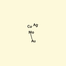 [Ag].[Cu].[Mo][Au]